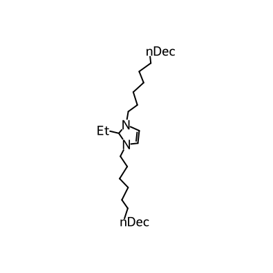 CCCCCCCCCCCCCCCCN1C=CN(CCCCCCCCCCCCCCCC)C1CC